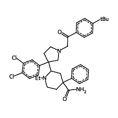 CCN1CCC(C(N)=O)(c2ccccc2)CC1C1(c2ccc(Cl)c(Cl)c2)CCN(CC(=O)c2ccc(C(C)(C)C)cc2)C1